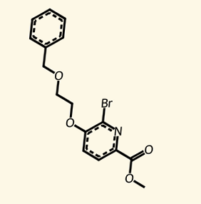 COC(=O)c1ccc(OCCOCc2ccccc2)c(Br)n1